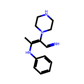 CC(Nc1ccccc1)=C(C=N)N1CCNCC1